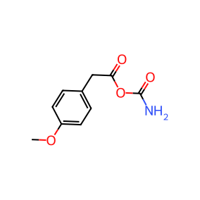 COc1ccc(CC(=O)OC(N)=O)cc1